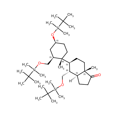 CC(C)(C)[Si](C)(C)OC[C@@H]1[C@@H]([C@@]2(C)CC[C@H](O[Si](C)(C)C(C)(C)C)C[C@@H]2CO[Si](C)(C)C(C)(C)C)CC[C@]2(C)C(=O)CC[C@@H]12